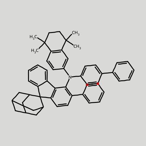 CC1(C)CCC(C)(C)c2cc(N(c3ccc(-c4ccccc4)cc3)c3c(-c4ccccc4)ccc4c3-c3ccccc3C43C4CC5CC(C4)CC3C5)ccc21